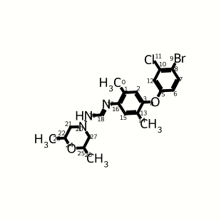 Cc1cc(Oc2ccc(Br)c(Cl)c2)c(C)cc1N=CNN1CC(C)OC(C)C1